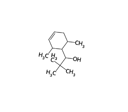 CC1C=CCC(C)C1C(O)C(C)(C)C